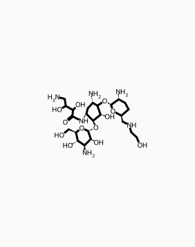 NCC(O)C(O)C(=O)N[C@@H]1C[C@H](N)C(O[C@H]2O[C@H](CNCCO)CC[C@H]2N)[C@H](O)[C@H]1O[C@H]1O[C@H](CO)[C@@H](O)[C@H](N)[C@H]1O